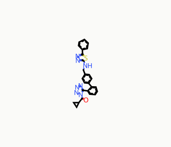 O=C(C1CC1)n1nnnc1-c1ccccc1-c1ccc(CNc2nnc(-c3ccccc3)s2)cc1